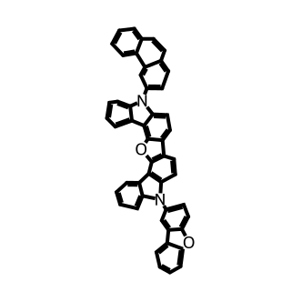 c1ccc2c(c1)ccc1ccc(-n3c4ccccc4c4c5oc6c(ccc7c6c6ccccc6n7-c6ccc7oc8ccccc8c7c6)c5ccc43)cc12